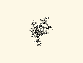 CC(C)[C@H](NC(=O)[C@H](Cc1c[nH]c2ccccc12)NC(=O)[C@@H]1CCCN1C(=O)[C@@H]1CCCN1C(=O)[C@H](Cc1ccccc1)NC(=O)[C@H](CO)NC(=O)CNC(=O)[C@@H](N)CS)C(=O)N[C@@H](CCCCN)C(=O)O